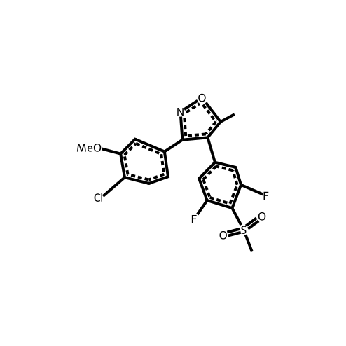 COc1cc(-c2noc(C)c2-c2cc(F)c(S(C)(=O)=O)c(F)c2)ccc1Cl